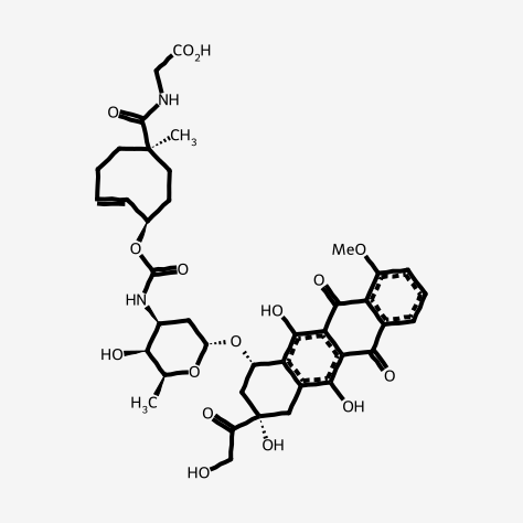 COc1cccc2c1C(=O)c1c(O)c3c(c(O)c1C2=O)C[C@@](O)(C(=O)CO)C[C@@H]3O[C@H]1C[C@H](NC(=O)O[C@H]2/C=C/CC[C@@](C)(C(=O)NCC(=O)O)CC2)[C@H](O)[C@H](C)O1